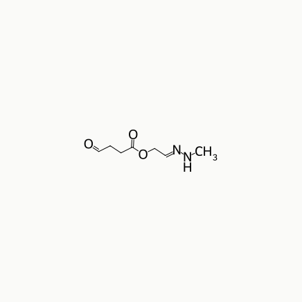 CNN=CCOC(=O)CCC=O